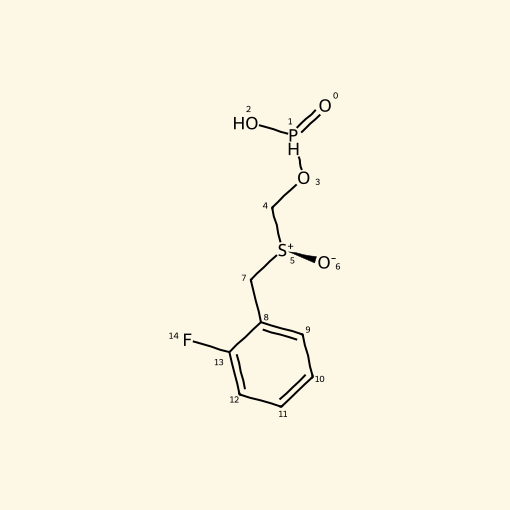 O=[PH](O)OC[S@@+]([O-])Cc1ccccc1F